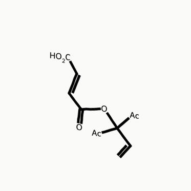 C=CC(OC(=O)C=CC(=O)O)(C(C)=O)C(C)=O